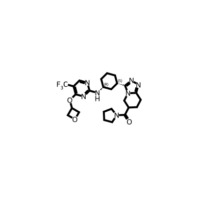 O=C(C1CCc2nnc([C@H]3CCC[C@@H](Nc4ncc(C(F)(F)F)c(OC5COC5)n4)C3)n2C1)N1CCCC1